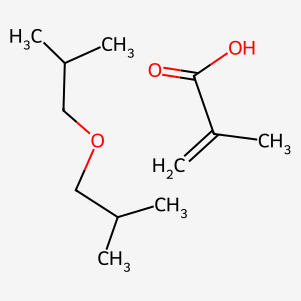 C=C(C)C(=O)O.CC(C)COCC(C)C